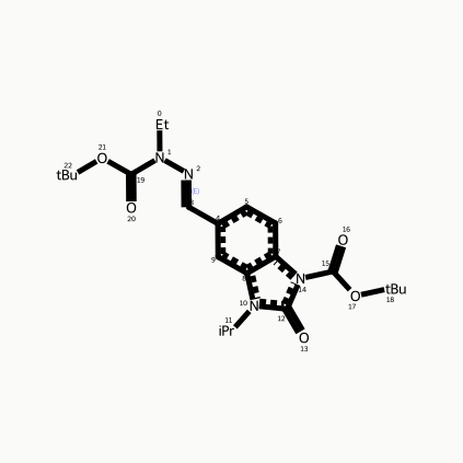 CCN(/N=C/c1ccc2c(c1)n(C(C)C)c(=O)n2C(=O)OC(C)(C)C)C(=O)OC(C)(C)C